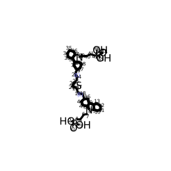 O=P(O)(O)CCCCn1c2ccccc2c2cc(/C=C/c3ccc(/C=C/c4ccc5c(c4)c4ccccc4n5CCCCP(=O)(O)O)s3)ccc21